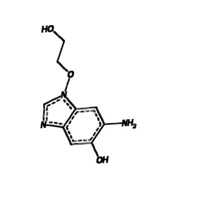 Nc1cc2c(cc1O)ncn2OCCO